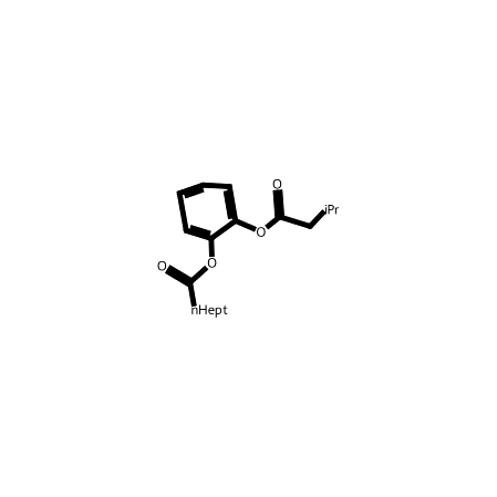 CCCCCCCC(=O)Oc1ccccc1OC(=O)CC(C)C